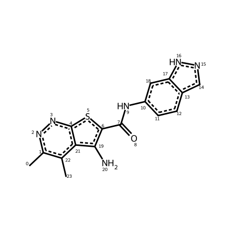 Cc1nnc2sc(C(=O)Nc3ccc4cn[nH]c4c3)c(N)c2c1C